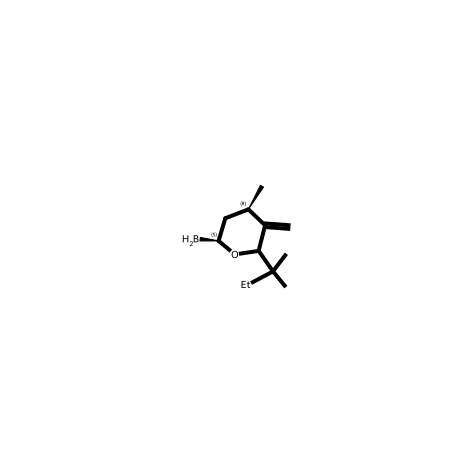 B[C@H]1C[C@@H](C)C(=C)C(C(C)(C)CC)O1